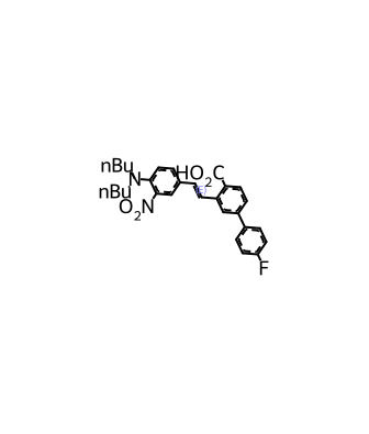 CCCCN(CCCC)c1ccc(/C=C/c2cc(-c3ccc(F)cc3)ccc2C(=O)O)cc1[N+](=O)[O-]